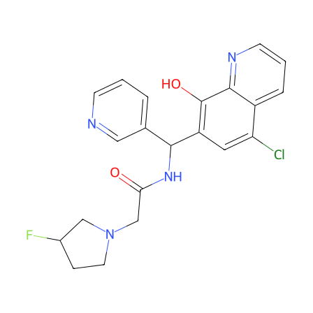 O=C(CN1CCC(F)C1)NC(c1cccnc1)c1cc(Cl)c2cccnc2c1O